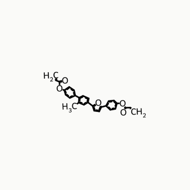 C=CC(=O)Oc1ccc(-c2ccc(-c3ccc(-c4ccc(OC(=O)C=C)cc4)c(C)c3)o2)cc1